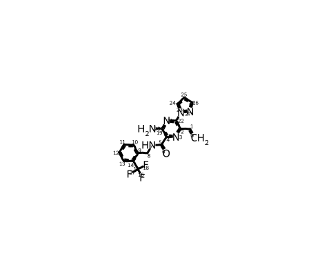 C=Cc1nc(C(=O)NCc2ccccc2C(F)(F)F)c(N)nc1-n1cccn1